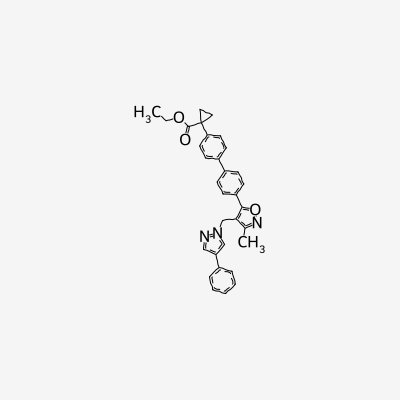 CCOC(=O)C1(c2ccc(-c3ccc(-c4onc(C)c4Cn4cc(-c5ccccc5)cn4)cc3)cc2)CC1